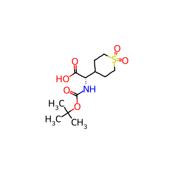 CC(C)(C)OC(=O)N[C@H](C(=O)O)C1CCS(=O)(=O)CC1